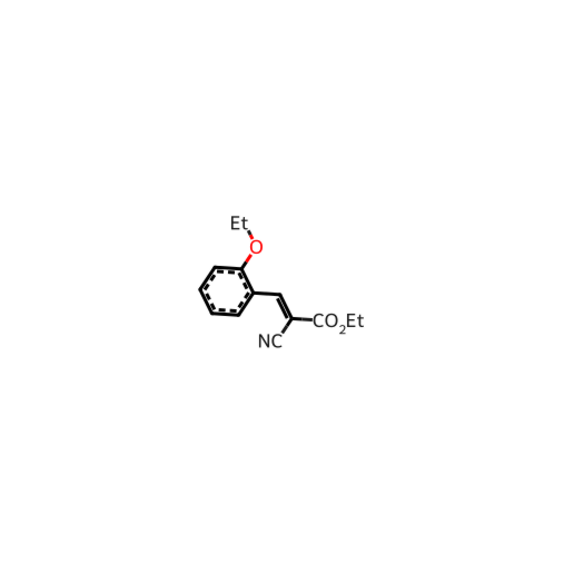 CCOC(=O)C(C#N)=Cc1ccccc1OCC